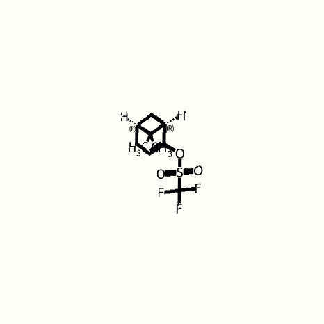 CC1(C)[C@H]2CC=C(OS(=O)(=O)C(F)(F)F)[C@@H]1C2